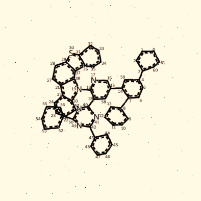 c1ccc(-c2ccc(-c3ccccc3)c(-c3cnc(-n4c5ccccc5c5ccc6sc7ccccc7c6c54)c(-c4nc(-c5ccccc5)nc(-c5ccccc5)n4)c3)c2)cc1